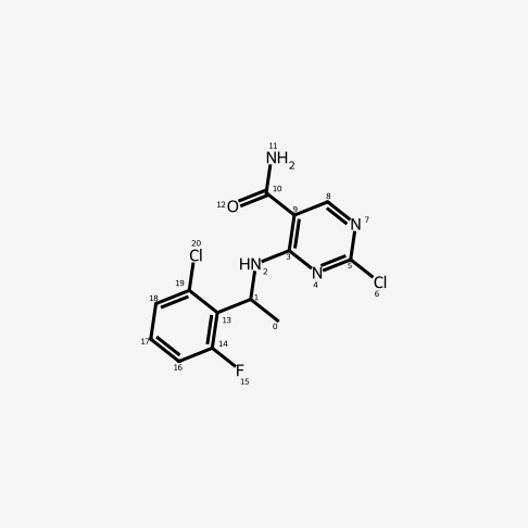 CC(Nc1nc(Cl)ncc1C(N)=O)c1c(F)cccc1Cl